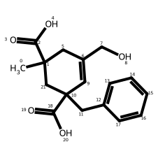 CC1(C(=O)O)CC(CO)=CC(Cc2ccccc2)(C(=O)O)C1